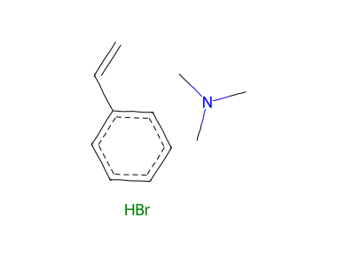 Br.C=Cc1ccccc1.CN(C)C